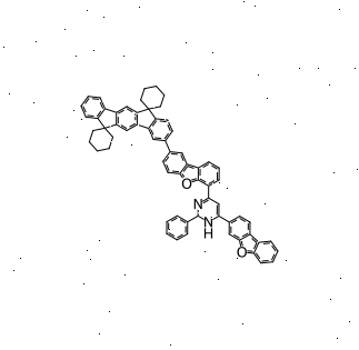 C1=C(c2ccc3c(c2)oc2ccccc23)NC(c2ccccc2)N=C1c1cccc2c1oc1ccc(-c3ccc4c(c3)-c3cc5c(cc3C43CCCCC3)-c3ccccc3C53CCCCC3)cc12